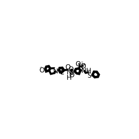 COc1ccc2c(c1)CCN(c1ccc(C(=O)NS(=O)(=O)c3ccc(NCCSc4ccccc4)c([N+](=O)[O-])c3)cc1)C2